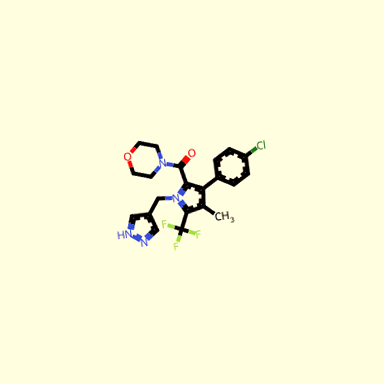 Cc1c(-c2ccc(Cl)cc2)c(C(=O)N2CCOCC2)n(Cc2cn[nH]c2)c1C(F)(F)F